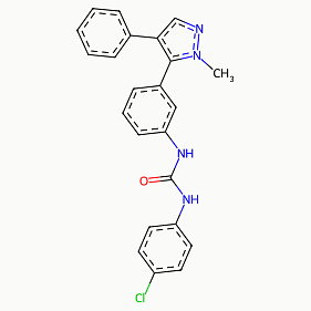 Cn1ncc(-c2ccccc2)c1-c1cccc(NC(=O)Nc2ccc(Cl)cc2)c1